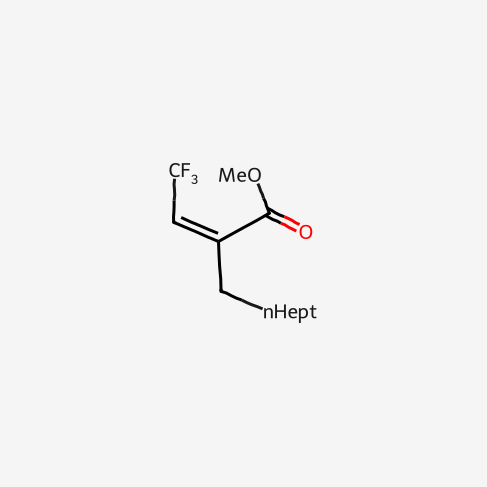 CCCCCCCCC(=CC(F)(F)F)C(=O)OC